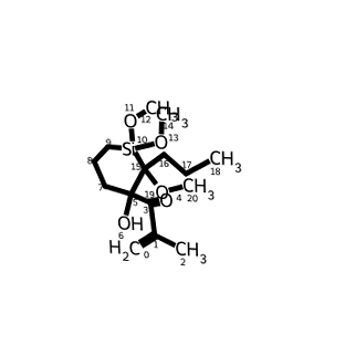 C=C(C)C(=O)C1(O)CCC[Si](OC)(OC)C1(CCC)OC